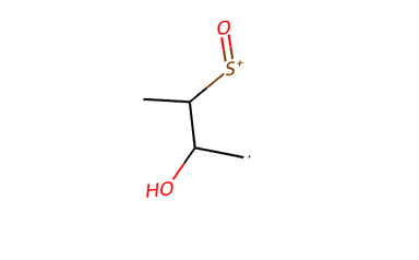 [CH2]C(O)C(C)[S+]=O